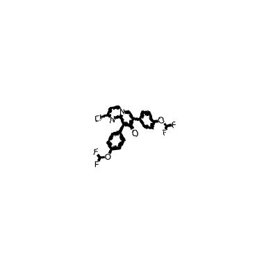 O=c1c(-c2ccc(OC(F)F)cc2)cn2ccc(Cl)nc2c1-c1ccc(OC(F)F)cc1